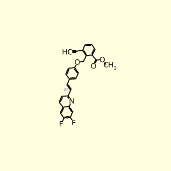 C#Cc1cccc(C(=O)OC)c1COc1ccc(/C=C/c2ccc3cc(F)c(F)cc3n2)cc1